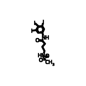 CS(=O)(=O)NCCCC(=O)Nc1cc(I)c(I)c(I)c1